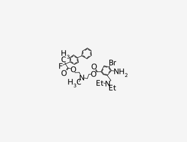 CCN(CC)Cc1cc(C(=O)OCCN(C)CCOC(=O)C(C)(F)c2ccc(-c3ccccc3)cc2)cc(Br)c1N